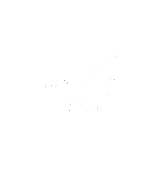 C/C(=N\O)c1cc(C)ccc1C